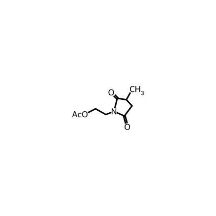 CC(=O)OCCN1C(=O)CC(C)C1=O